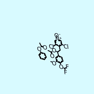 CC(=O)Oc1ccccc1.COc1cc(C(Cc2c(Cl)c[n+]([O-])cc2Cl)OC(C)=O)ccc1OC(F)F